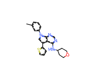 Cc1cccc(-n2cc(-c3cccs3)c3c(NC4CCOCC4)ncnc32)c1